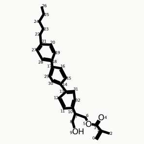 C=C(C)C(=O)OCC(CO)c1ccc(-c2ccc(-c3ccc(CCCCC)cc3)cc2)cc1